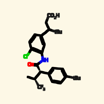 C[C@H]([C@H](C(=O)Nc1cc(C(CC(=O)O)C(C)(C)C)ccc1Cl)c1ccc(C(C)(C)C)cc1)C(F)(F)F